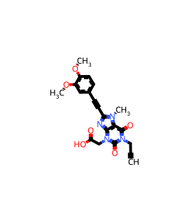 C#CCn1c(=O)c2c(nc(C#Cc3ccc(OC)c(OC)c3)n2C)n(CC(=O)O)c1=O